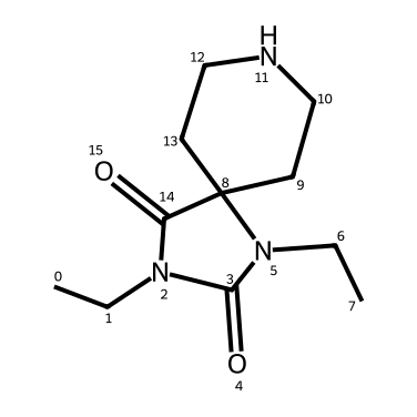 CCN1C(=O)N(CC)C2(CCNCC2)C1=O